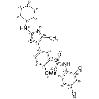 COc1ccc(-c2sc(NC3CCOCC3)nc2C)cc1S(=O)(=O)Nc1ccc(Cl)cc1Cl